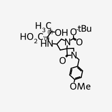 COc1ccc(CN2CC3(CC(N[C@H](C(=O)O)[C@@H](C)O)CN3C(=O)OC(C)(C)C)C2=O)cc1